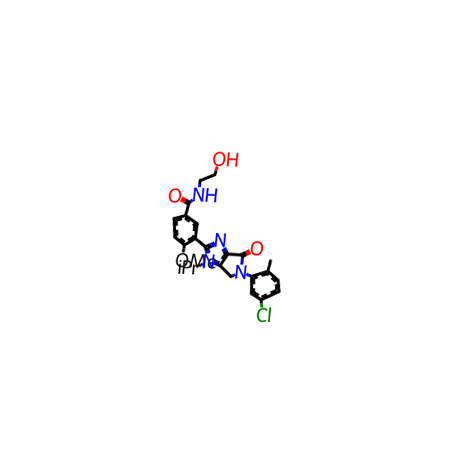 COc1ccc(C(=O)NCCO)cc1-c1nc2c(n1C(C)C)CN(c1cc(Cl)ccc1C)C2=O